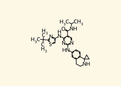 CC(C)NC(=O)c1cnc(Nc2ccc3c(c2)CCNC32CC2)nc1Nc1csc(C(C)(C)C)n1